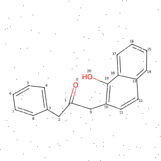 O=C(Cc1ccccc1)Cc1ccc2ccccc2c1O